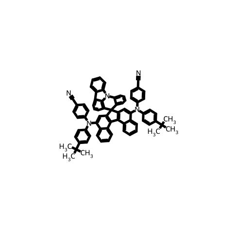 CC(C)(C)c1ccc(N(c2ccc(C#N)cc2)c2cc3c(c4ccccc24)-c2c(cc(N(c4ccc(C#N)cc4)c4ccc(C(C)(C)C)cc4)c4ccccc24)C32c3ccccc3-n3c4ccccc4c4cccc2c43)cc1